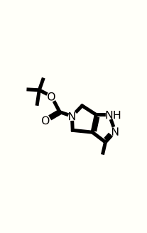 Cc1n[nH]c2c1CN(C(=O)OC(C)(C)C)C2